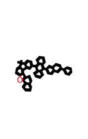 CC1(C)c2ccc(-c3c4ccccc4c(-c4ccc5cc(-c6ccccc6)ccc5c4)c4ccccc34)cc2-c2c1ccc1oc3c4ccccc4ccc3c21